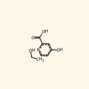 CCO.O=C(O)c1cc(O)ccn1